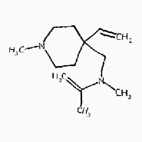 C=CC1(CN(C)C(=C)C)CCN(C)CC1